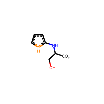 O=C(O)C(CO)Nc1ccc[pH]1